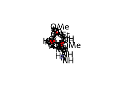 CC[C@H]1OC(=O)[C@H](C)[C@@H](O[C@H]2C[C@@](C)(OC)C[C@H](C)O2)[C@H](C)[C@@H](O[C@@H]2O[C@H](C)C[C@H](N(C)CCC3=CN([C@H](CF)[C@H](OC)c4ccc(N/C=N\C=N)cc4)NN3)[C@H]2O)[C@](C)(O)C[C@@H](C)CN(C)[C@H](C)[C@@H](O)[C@]1(C)O